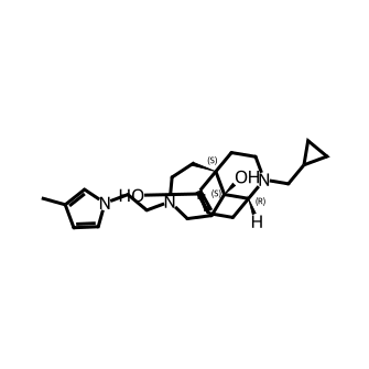 Cc1ccn(CCN2CC[C@]34CCN(CC5CC5)[C@H](Cc5ccc(O)cc53)[C@]4(O)CC2)c1